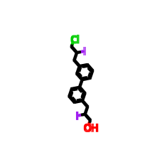 OCC(I)Cc1cccc(-c2cccc(CC(I)CCl)c2)c1